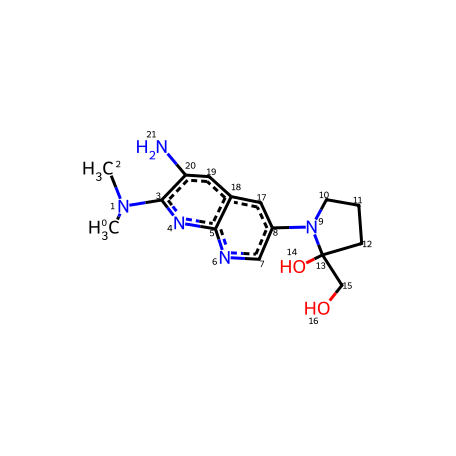 CN(C)c1nc2ncc(N3CCCC3(O)CO)cc2cc1N